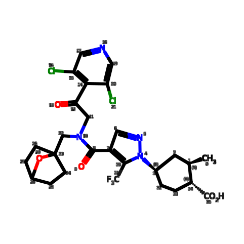 C[C@@H]1C[C@H](n2ncc(C(=O)N(CC(=O)c3c(Cl)cncc3Cl)CC34CCC(CC3)O4)c2C(F)(F)F)CC[C@H]1C(=O)O